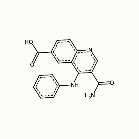 NC(=O)c1cnc2ccc(C(=O)O)cc2c1Nc1ccccc1